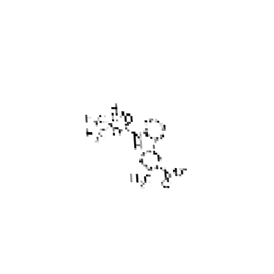 [CH2]c1ccc(-c2ccccc2NC(=O)OC(C)(C)C)cc1[N+](=O)[O-]